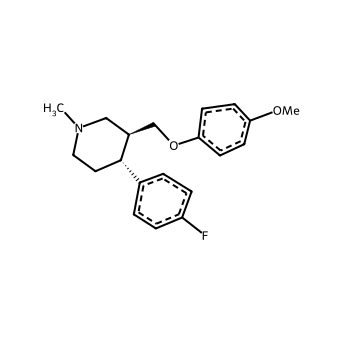 COc1ccc(OC[C@@H]2CN(C)CC[C@H]2c2ccc(F)cc2)cc1